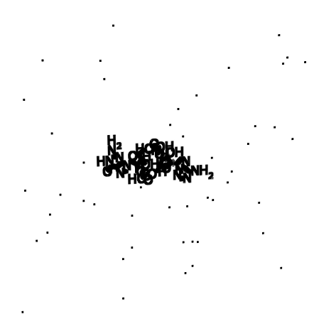 Nc1nc2c(ncn2[C@@H]2O[C@@H]3COP(=O)(O)O[C@H]4[C@@H](O)[C@H](c5cnc6c(N)ncnn56)O[C@@H]4COP(=O)(O)O[C@@H]2[C@@H]3O)c(=O)[nH]1